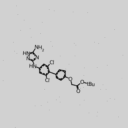 CC(C)(C)OC(=O)COc1ccc(-c2c(Cl)cc(Nc3n[nH]c(N)n3)cc2Cl)cc1